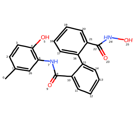 Cc1ccc(O)c(NC(=O)c2ccccc2-c2ccccc2C(=O)NO)c1